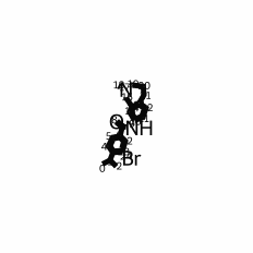 CC(C)c1ccc(C(=O)Nc2ccc3c(c2)CN(C)CCC3)cc1Br